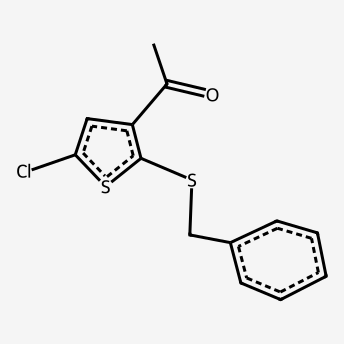 CC(=O)c1cc(Cl)sc1SCc1ccccc1